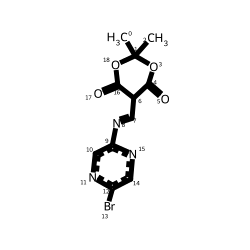 CC1(C)OC(=O)C(/C=N/c2cnc(Br)cn2)C(=O)O1